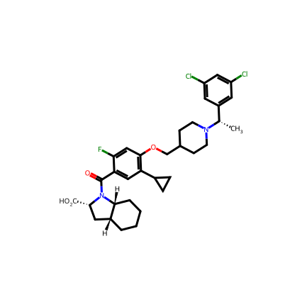 C[C@@H](c1cc(Cl)cc(Cl)c1)N1CCC(COc2cc(F)c(C(=O)N3[C@@H](C(=O)O)C[C@H]4CCCC[C@H]43)cc2C2CC2)CC1